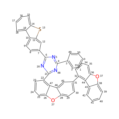 c1ccc(-c2nc(-c3ccc4c(c3)sc3ccccc34)nc(-c3cccc4oc5ccc(-c6cccc7oc8ccccc8c67)cc5c34)n2)cc1